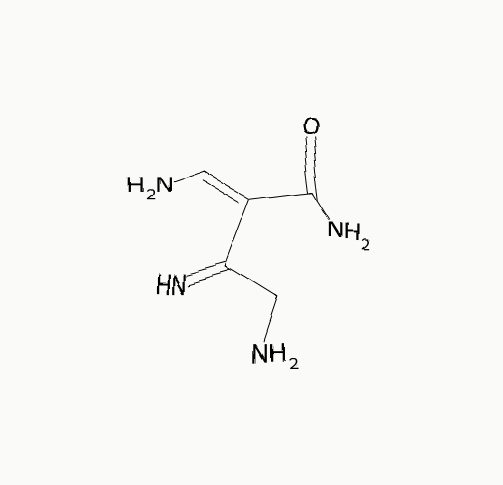 N=C(CN)/C(=C\N)C(N)=O